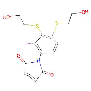 O=C1C=CC(=O)N1c1ccc(SCCO)c(SCCO)c1I